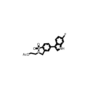 CC(=O)OCCN1Cc2cc(-c3c[nH]c4cc(F)ccc34)ccc2S1(=O)=O